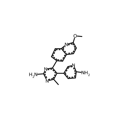 COc1ccc2cc(-c3nc(N)nc(C)c3-c3ccc(N)nc3)ccc2n1